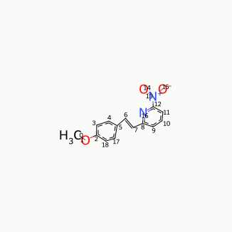 COc1ccc(C=Cc2cccc([N+](=O)[O-])n2)cc1